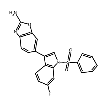 Nc1nc2ccc(-c3cn(S(=O)(=O)c4ccccc4)c4cc(F)ccc34)cc2o1